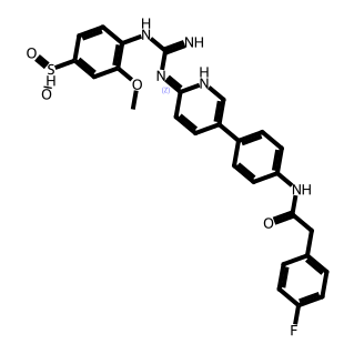 COc1cc([SH](=O)=O)ccc1NC(=N)/N=c1/ccc(-c2ccc(NC(=O)Cc3ccc(F)cc3)cc2)c[nH]1